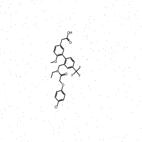 CCN(Cc1cc(C(F)(F)F)ccc1-c1cc(CC(=O)O)ccc1OC)C(=O)COc1ccc(Cl)cc1